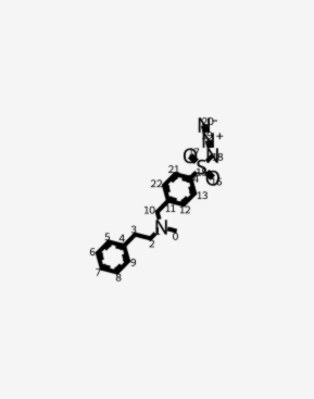 CN(CCc1ccccc1)Cc1ccc(S(=O)(=O)N=[N+]=[N-])cc1